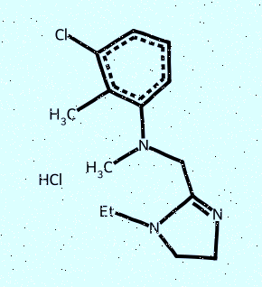 CCN1CCN=C1CN(C)c1cccc(Cl)c1C.Cl